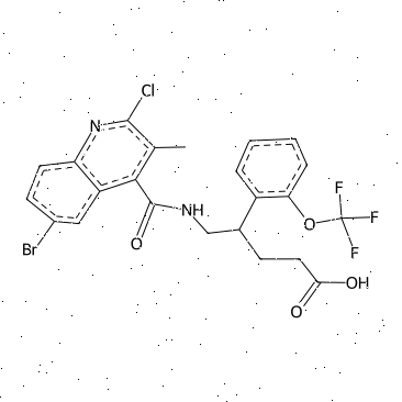 Cc1c(Cl)nc2ccc(Br)cc2c1C(=O)NCC(CCC(=O)O)c1ccccc1OC(F)(F)F